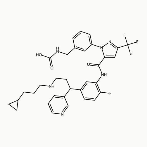 O=C(O)NCc1cccc(-n2nc(C(F)(F)F)cc2C(=O)Nc2cc(C(CCNCCCC3CC3)c3cccnc3)ccc2F)c1